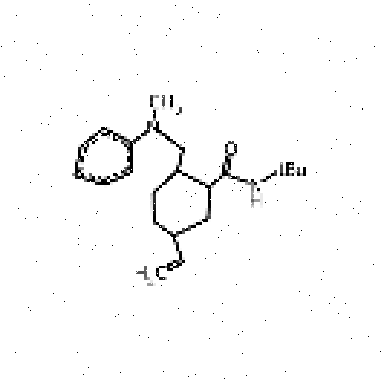 C=CC1CCC(CN(C)c2ccccc2)C(C(=O)NC(C)(C)C)C1